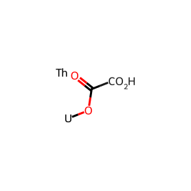 O=C(O)C(=O)[O][U].[Th]